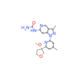 CO[C@@]1(c2cc(C)cc(-n3nc(C)c4cnc(NC(N)=O)cc43)n2)CCOC1